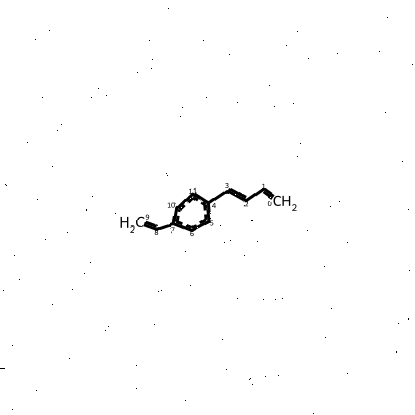 C=CC=Cc1ccc(C=C)cc1